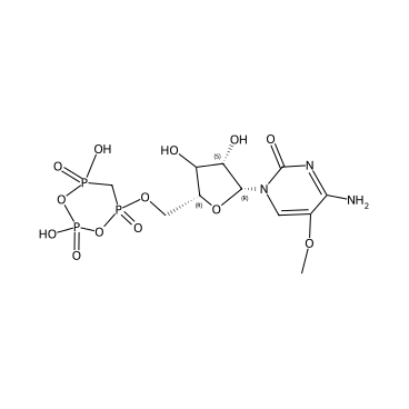 COc1cn([C@@H]2O[C@H](COP3(=O)CP(=O)(O)OP(=O)(O)O3)C(O)[C@@H]2O)c(=O)nc1N